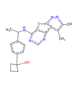 Cc1nnc2sc3c(NC(C)c4ccc(C5(O)CCC5)cc4)ncnc3c2c1C